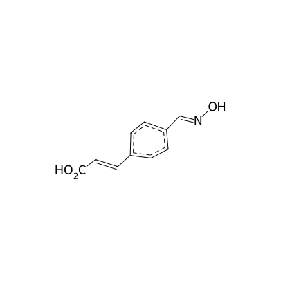 O=C(O)/C=C/c1ccc(C=NO)cc1